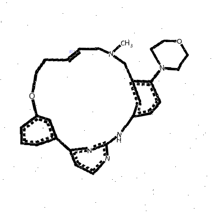 CN1C/C=C/CCOc2cccc(c2)-c2ccnc(n2)Nc2ccc(N3CCOCC3)c(c2)C1